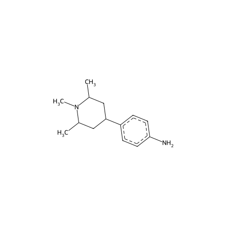 CC1CC(c2ccc(N)cc2)CC(C)N1C